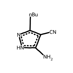 CCCCc1n[nH]c(N)c1C#N